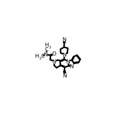 CN(C)C(=O)CN1CCc2c(c(N3CCC(C#N)CC3)n3c(nc4ccccc43)c2C#N)C1